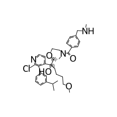 CNCc1ccc(C(=O)N2CCO[C@@H]([C@@](O)(CCCCOC)c3ccnc(Cl)c3-c3cccc(C(C)C)c3)C2)cc1